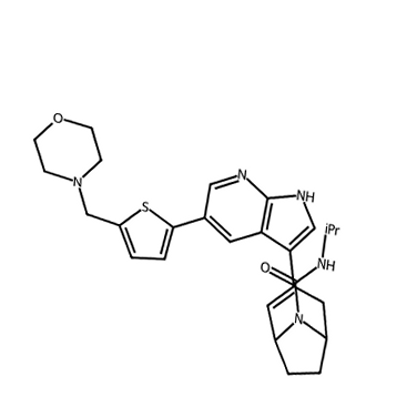 CC(C)NC(=O)N1C2C=C(c3c[nH]c4ncc(-c5ccc(CN6CCOCC6)s5)cc34)CC1CC2